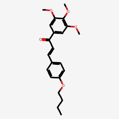 CCCCOc1ccc(C=CC(=O)c2cc(OC)c(OC)c(OC)c2)cc1